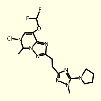 CC1N(Cl)C=C(OC(F)F)c2nc(CCc3nc(N4CCCC4)n(C)n3)nn21